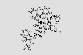 CCN(C(=O)Cc1ccccc1)[C@@H]1C[C@H](C(=O)NCC2(CCCCOC)c3ccccc3Oc3ccccc32)CN(C(=O)OCC2c3ccccc3-c3ccccc32)C1